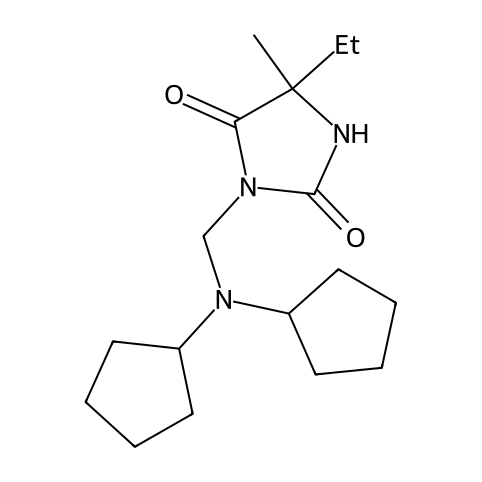 CCC1(C)NC(=O)N(CN(C2CCCC2)C2CCCC2)C1=O